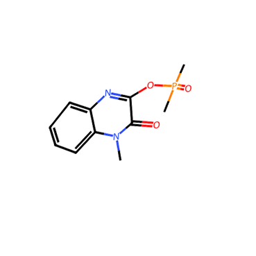 Cn1c(=O)c(OP(C)(C)=O)nc2ccccc21